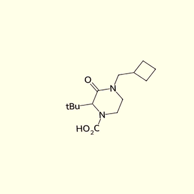 CC(C)(C)C1C(=O)N(CC2CCC2)CCN1C(=O)O